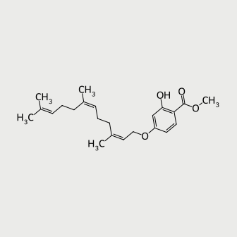 COC(=O)c1ccc(OCC=C(C)CCC=C(C)CCC=C(C)C)cc1O